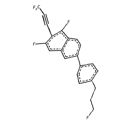 FCCCc1ccc(-c2ccc3c(F)c(C#CC(F)(F)F)c(F)cc3c2)cc1